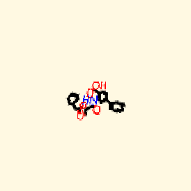 O=C(Nc1cc(-c2ccccc2)ccc1C(=O)O)C1=COC(Cc2ccccc2)O1